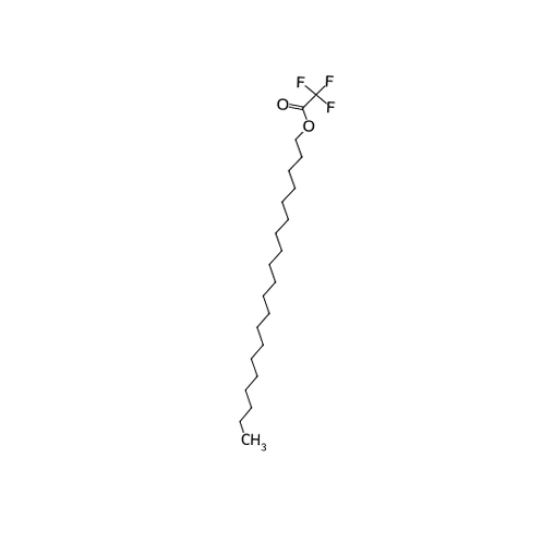 CCCCCCCCCCCCCCCCCCCCOC(=O)C(F)(F)F